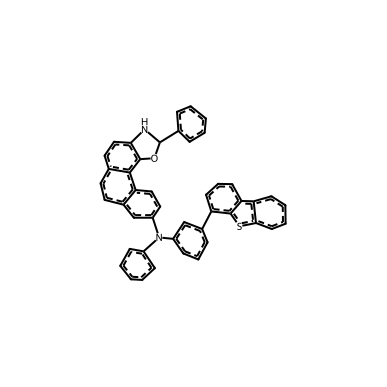 c1ccc(C2Nc3ccc4ccc5cc(N(c6ccccc6)c6cccc(-c7cccc8c7sc7ccccc78)c6)ccc5c4c3O2)cc1